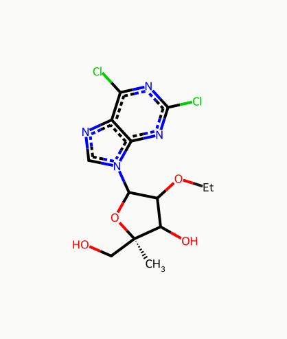 CCOC1C(n2cnc3c(Cl)nc(Cl)nc32)O[C@](C)(CO)C1O